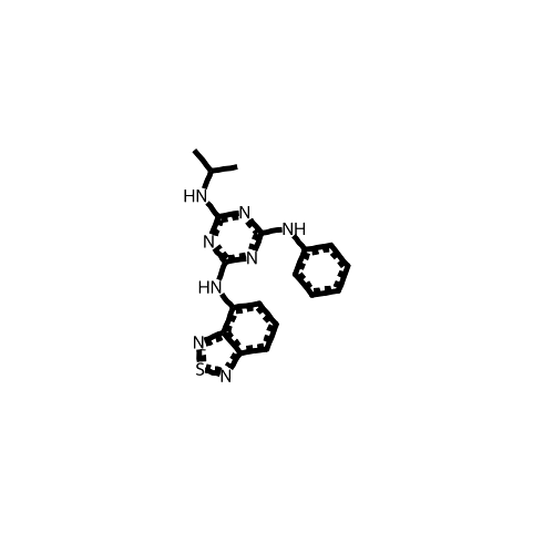 CC(C)Nc1nc(Nc2ccccc2)nc(Nc2cccc3nsnc23)n1